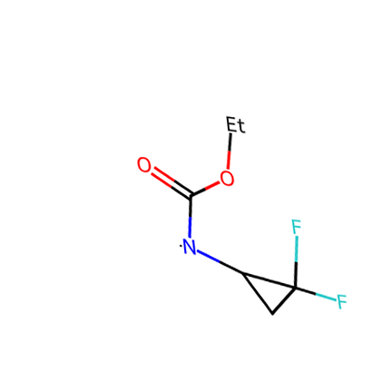 CCOC(=O)[N]C1CC1(F)F